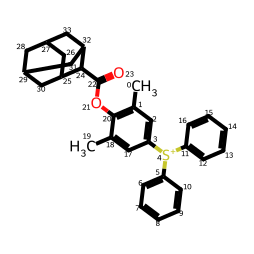 Cc1cc([S+](c2ccccc2)c2ccccc2)cc(C)c1OC(=O)C1C2CC3CC(C2)CC1C3